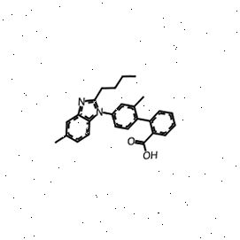 CCCCc1nc2cc(C)ccc2n1-c1ccc(-c2ccccc2C(=O)O)c(C)c1